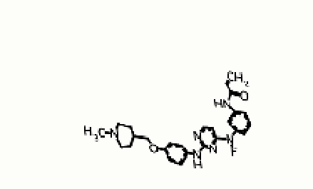 C=CC(=O)Nc1cccc(N(F)c2ccnc(Nc3ccc(OCC4CCN(C)CC4)cc3)n2)c1